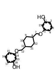 Oc1cccc(OCC2CCC(COc3cccc(O)c3)CC2)c1